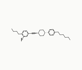 CCCCCCc1ccc([C@H]2CC[C@H](C#Cc3ccc(CCCC)c(F)c3)CC2)cc1